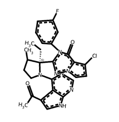 CC[C@@]1(c2nn3ccc(Cl)c3c(=O)n2-c2cccc(F)c2)C(C)CCN1c1ncnc2[nH]cc(C(C)=O)c12